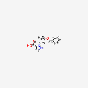 CC(CCn1nccc1C(=O)O)OCc1ccccc1